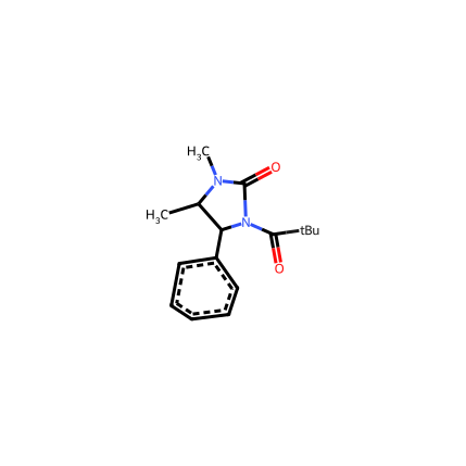 CC1C(c2ccccc2)N(C(=O)C(C)(C)C)C(=O)N1C